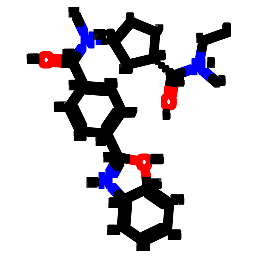 CCN(C)C(=O)[C@H]1CC[C@@H](N(C)C(=O)c2ccc(-c3nc4ccccc4o3)cc2)C1